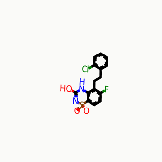 O=S1(=O)N=C(O)Nc2c1ccc(F)c2CCc1ccccc1Cl